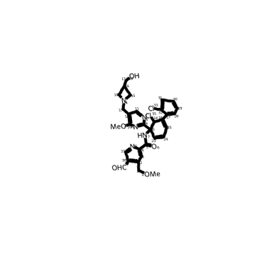 COCc1cc(C(=O)NC2(c3ncc(CN4CC(CO)C4)c(OC)n3)C=CC=C(c3ccccc3Cl)C2Cl)ncc1C=O